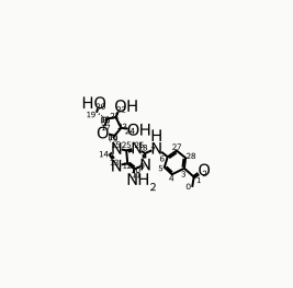 CC(=O)c1ccc(Nc2nc(N)c3ncn([C@@H]4O[C@H](CO)C(O)C4O)c3n2)cc1